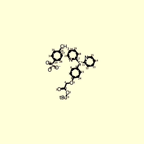 CC(C)(C)OC(=O)COc1ccc([S+](c2ccccn2)c2ccccn2)cc1.Cc1ccc(S(=O)(=O)[O-])cc1